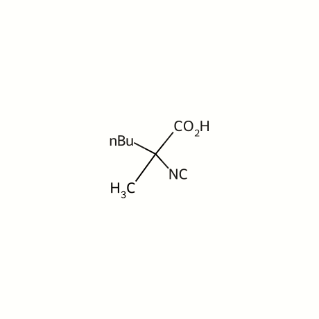 [C-]#[N+]C(C)(CCCC)C(=O)O